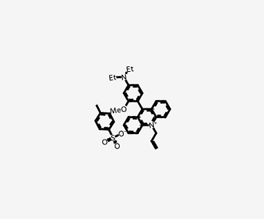 C=CC[n+]1c2ccccc2c(-c2ccc(N(CC)CC)cc2OC)c2ccccc21.Cc1ccc(S(=O)(=O)[O-])cc1